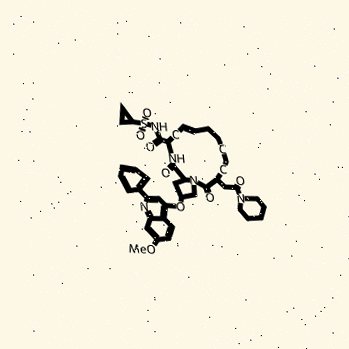 COc1ccc2c(OC3CC4C(=O)NC(C(=O)NS(=O)(=O)C5CC5)C/C=C/CCCCCC(CC(=O)N5CCCCC5)C(=O)N4C3)cc(-c3ccccc3)nc2c1